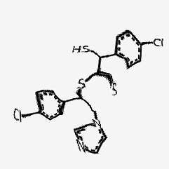 S=C(SC(Cn1ccnc1)c1ccc(Cl)cc1)C(S)c1ccc(Cl)cc1